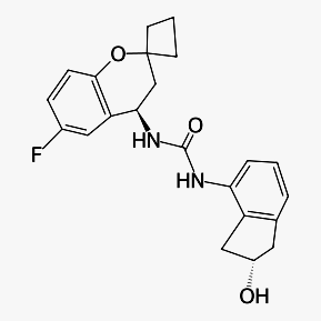 O=C(Nc1cccc2c1C[C@@H](O)C2)N[C@@H]1CC2(CCC2)Oc2ccc(F)cc21